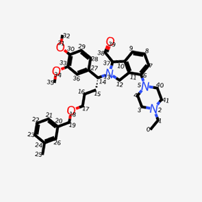 CCN1CCN(c2cccc3c2CN([C@H](CCCOCc2cccc(C)c2)c2ccc(OC)c(OC)c2)C3C=O)CC1